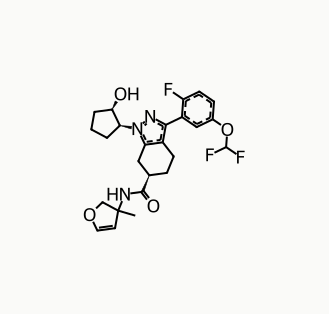 CC1(NC(=O)[C@@H]2CCc3c(-c4cc(OC(F)F)ccc4F)nn([C@H]4CCC[C@H]4O)c3C2)C=COC1